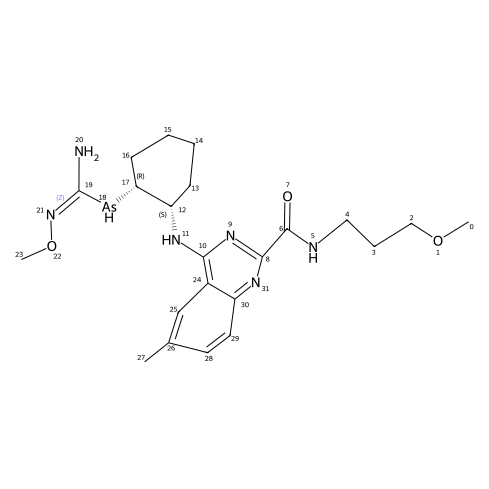 COCCCNC(=O)c1nc(N[C@H]2CCCC[C@H]2[AsH]/C(N)=N\OC)c2cc(C)ccc2n1